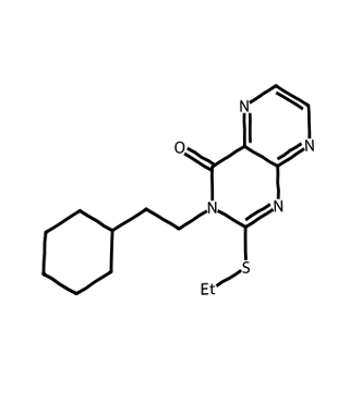 CCSc1nc2nccnc2c(=O)n1CCC1CCCCC1